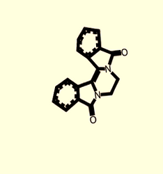 O=C1c2ccccc2C2=C3c4ccccc4C(=O)N3CCN12